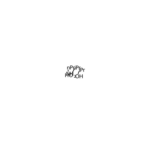 CC(C)O.CC(C)O.CCCN